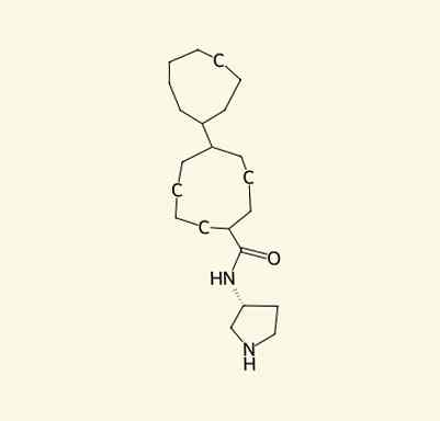 O=C(N[C@@H]1CCNC1)C1CCCCC(C2CCCCCCC2)CCC1